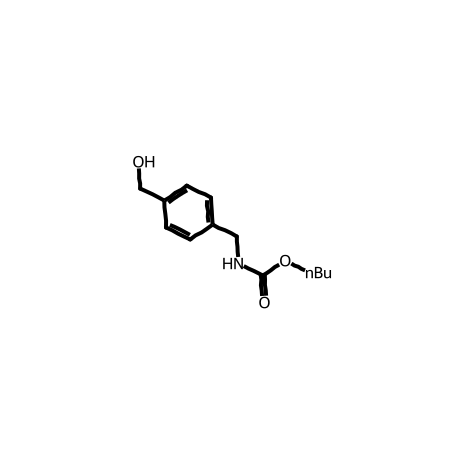 CCCCOC(=O)NCc1ccc(CO)cc1